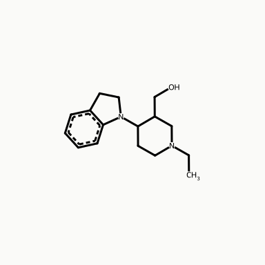 CCN1CCC(N2CCc3ccccc32)C(CO)C1